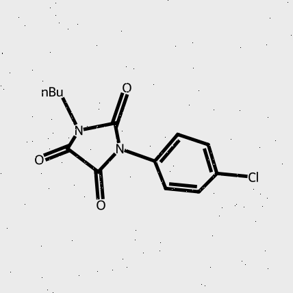 CCCCN1C(=O)C(=O)N(c2ccc(Cl)cc2)C1=O